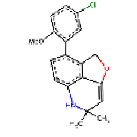 COc1ccc(Cl)cc1-c1ccc2c3c1COC3=CC(C)(C)N2